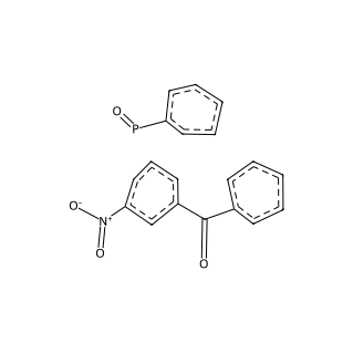 O=C(c1ccccc1)c1cccc([N+](=O)[O-])c1.O=Pc1ccccc1